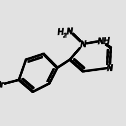 NN1NC=NC=C1c1ccc(Br)cc1